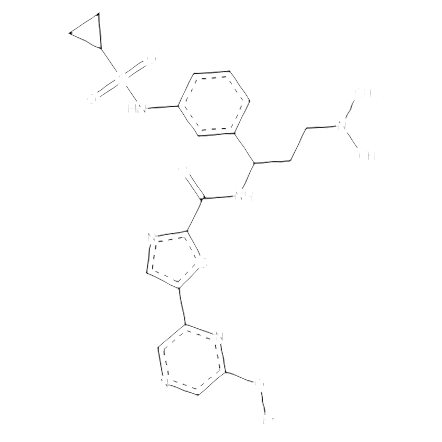 CCOc1cncc(-c2cnc(C(=O)NC(CCN(C)C)c3cccc(NS(=O)(=O)C4CC4)c3)s2)n1